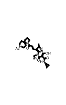 CC(=O)N1CCC2(CCCN2C(=O)/C=C/c2c(C)nn3c(O)c(C(=O)NC4CC4)c(=O)n(CC(C)C)c23)CC1